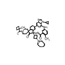 CNC(=O)c1cc(Nc2nc(-c3ccc4c(c3)N([C@H]3C[C@@H](N5CCCCC5)C3)C(=O)C43CCN(C(=O)C4(C)CCC4)CC3)cc3ncn(C4CC4)c23)ccc1C